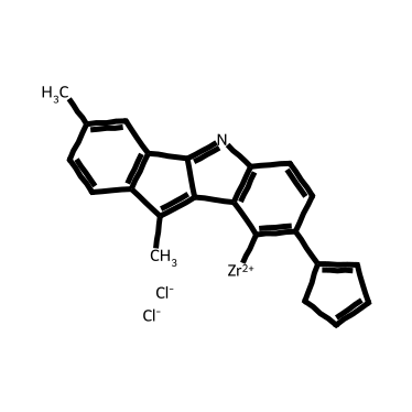 CC1=C2C(=Nc3ccc(C4=CC=CC4)[c]([Zr+2])c32)c2cc(C)ccc21.[Cl-].[Cl-]